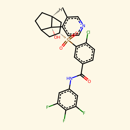 Cc1cnccc1[C@@]1(O)C2CC[C@H]1C[C@H](S(=O)(=O)c1cc(C(=O)Nc3cc(F)c(F)c(F)c3)ccc1Cl)C2